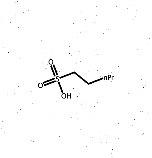 CCCCCS(=O)(=O)O